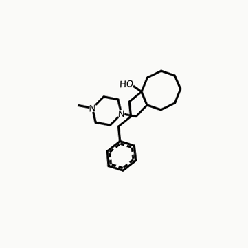 CN1CCN(CC2CCCCCCC2(O)CCCc2ccccc2)CC1